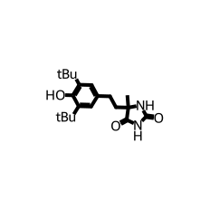 CC1(CCc2cc(C(C)(C)C)c(O)c(C(C)(C)C)c2)NC(=O)NC1=O